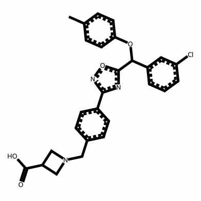 Cc1ccc(OC(c2cccc(Cl)c2)c2nc(-c3ccc(CN4CC(C(=O)O)C4)cc3)no2)cc1